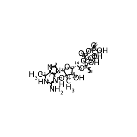 CC1NC(N)=Nc2c1ncn2[C@@H]1O[C@H](COP(O)(=S)OP(=O)(O)OP(=O)(O)O)[C@@H](O)[C@@]1(C)O